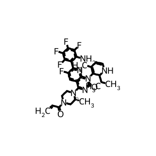 C=CC(=O)N1CCN(c2nc(=O)n(C3=C(C)C=CNC3C(C)C)c3nc(-c4c(N)c(F)c(F)c(F)c4F)c(F)cc23)[C@@H](C)C1